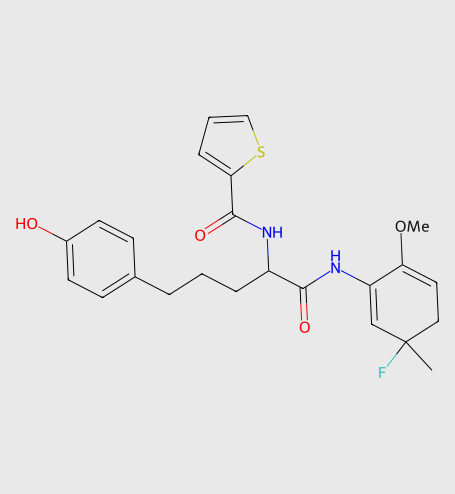 COC1=CCC(C)(F)C=C1NC(=O)C(CCCc1ccc(O)cc1)NC(=O)c1cccs1